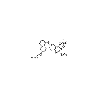 COCOc1cc(C2Cc3nc(SC)nc(OS(=O)(=O)C(F)(F)F)c3CO2)c2c(Br)cccc2c1